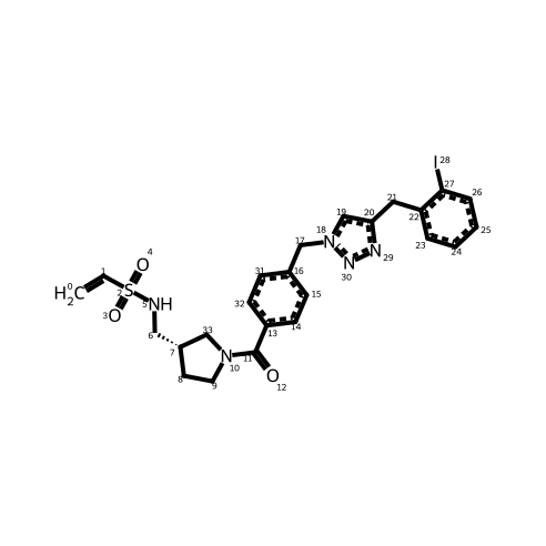 C=CS(=O)(=O)NC[C@H]1CCN(C(=O)c2ccc(Cn3cc(Cc4ccccc4I)nn3)cc2)C1